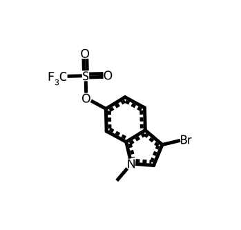 Cn1cc(Br)c2ccc(OS(=O)(=O)C(F)(F)F)cc21